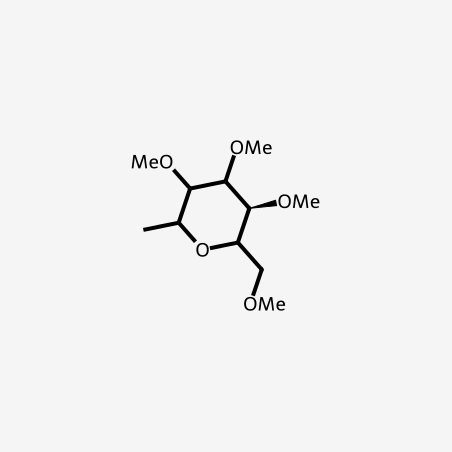 COCC1OC(C)C(OC)C(OC)[C@H]1OC